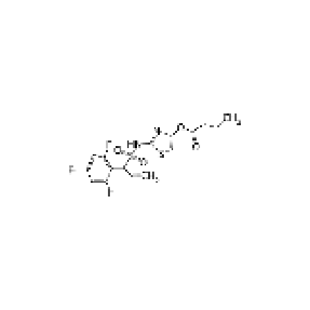 C=CC(c1c(F)cc(F)cc1F)S(=O)(=O)Nc1nc(OC(=O)CCC)cs1